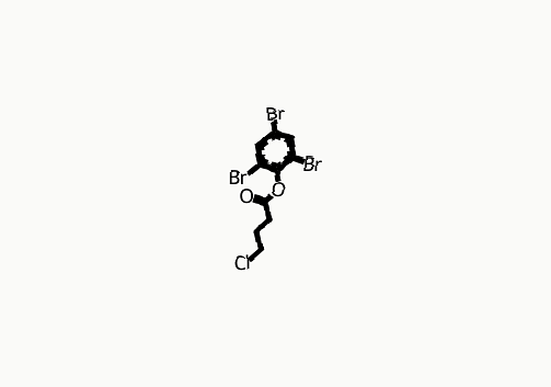 O=C(CCCCl)Oc1c(Br)cc(Br)cc1Br